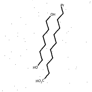 CC(C)CCCCCCCCCC(=O)O.OCCCCCCO